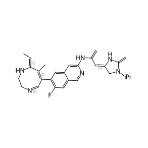 C=C(/C=C1/CN(C(C)C)C(=C)N1)Nc1cc2cc(C3=C(C)/C(=C/C)NCC/N=C\3)c(F)cc2cn1